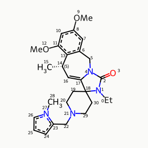 CCN1C(=O)N2Cc3cc(OC)cc(OC)c3[C@@H](C)C=C2C12CCN(Cc1cccn1C)CC2